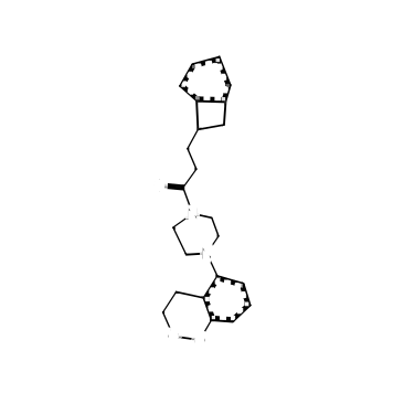 O=C(CCC1Cc2ccccc21)N1CCN(c2cccc3c2CCOO3)CC1